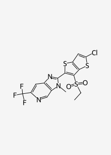 CCS(=O)(=O)c1c(-c2nc3cc(C(F)(F)F)ncc3n2C)sc2cc(Cl)sc12